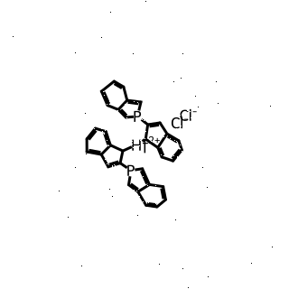 C1=C(p2cc3ccccc3c2)[CH]([Hf+2][CH]2C(p3cc4ccccc4c3)=Cc3ccccc32)c2ccccc21.[Cl-].[Cl-]